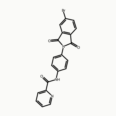 O=C(Nc1ccc(N2C(=O)c3ccc(Br)cc3C2=O)cc1)c1ccccn1